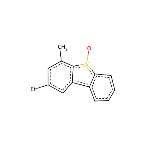 CCc1cc(C)c2c(c1)c1ccccc1[s+]2[O-]